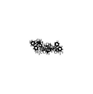 CC(C)(C)[S@+]([O-])N(CC(C)(C)[S@+]([O-])N[C@](C)(CO[Si](c1ccccc1)(c1ccccc1)C(C)(C)C)CC1CC1)[C@](C)(CO[Si](c1ccccc1)(c1ccccc1)C(C)(C)C)CC1CC1